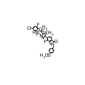 COc1ccc(CN2Cc3c(ccc(-c4nnc(C(C)(C)Oc5c(F)cc(Cl)cc5F)n4C)c3F)C2=O)cc1